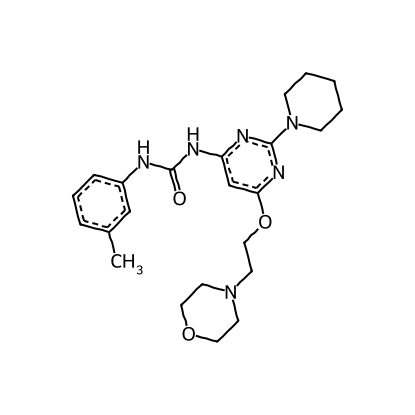 Cc1cccc(NC(=O)Nc2cc(OCCN3CCOCC3)nc(N3CCCCC3)n2)c1